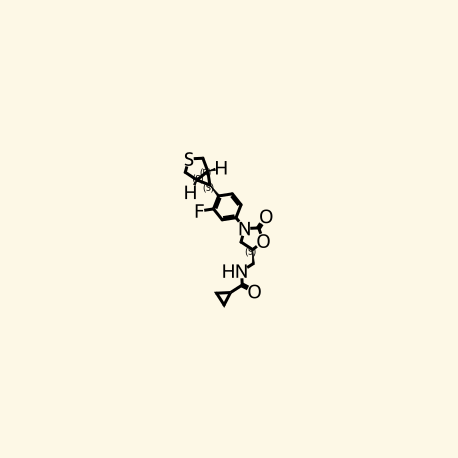 O=C(NC[C@H]1CN(c2ccc([C@H]3[C@@H]4CSC[C@@H]43)c(F)c2)C(=O)O1)C1CC1